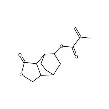 C=C(C)C(=O)OC1CC2CCC1C1C(=O)OCC21